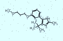 COCCCOc1cccc(-c2[nH]c(C)nc2C(C)(C)C)c1